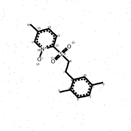 Cc1ccc(C)c(CCS(=O)(=O)c2ccc(C)c[n+]2[O-])c1